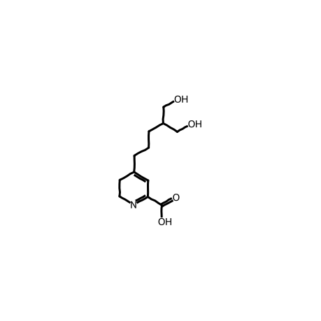 O=C(O)C1=NCCC(CCCC(CO)CO)=C1